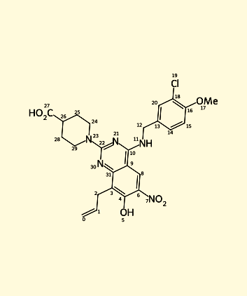 C=CCc1c(O)c([N+](=O)[O-])cc2c(NCc3ccc(OC)c(Cl)c3)nc(N3CCC(C(=O)O)CC3)nc12